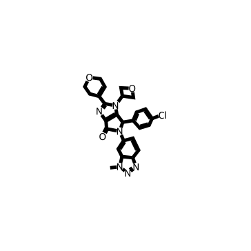 CN1N=NC2C=CC(N3C(=O)c4nc(C5=CCOCC5)n(C5COC5)c4C3c3ccc(Cl)cc3)=CC21